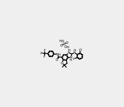 CC1(C)Cc2c3c(cc(C(=O)Nc4ccc(C(F)(F)F)cc4)c2O1)NC(Nc1c(F)cccc1Cl)N3.O=S(=O)(O)O